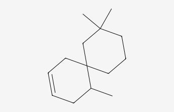 CC1CC=CCC12CCCC(C)(C)C2